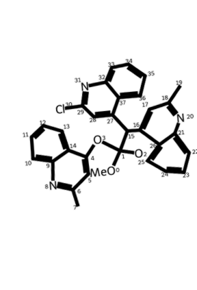 COC([O])(Oc1cc(C)nc2ccccc12)C(c1cc(C)nc2ccccc12)c1cc(Cl)nc2ccccc12